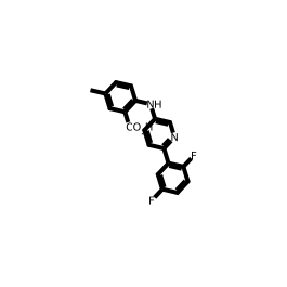 Cc1ccc(Nc2ccc(-c3cc(F)ccc3F)nc2)c(C(=O)O)c1